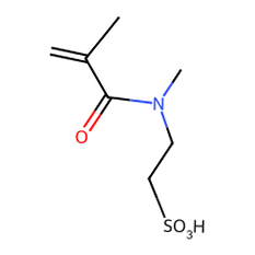 C=C(C)C(=O)N(C)CCS(=O)(=O)O